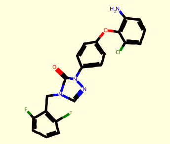 Nc1cccc(Cl)c1Oc1ccc(-n2ncn(Cc3c(F)cccc3F)c2=O)cc1